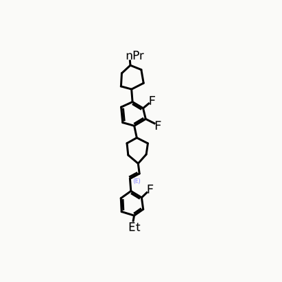 CCCC1CCC(c2ccc(C3CCC(/C=C/c4ccc(CC)cc4F)CC3)c(F)c2F)CC1